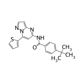 CC(C)(C)c1ccc(C(=O)Nc2cc(-c3cccs3)n3nccc3n2)cc1